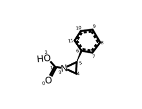 O=C(O)N1C[C@@H]1c1ccccc1